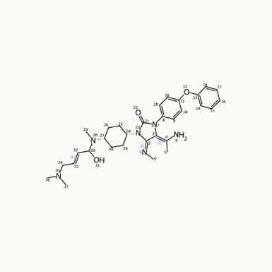 C/N=C1\C(=C(/C)N)N(c2ccc(Oc3ccccc3)cc2)C(=O)N1[C@H]1CC[C@@H](N(C)C(O)/C=C/CN(C)C)CC1